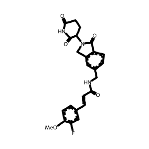 COc1ccc(C=CC(=O)NCc2ccc3c(c2)CN(C2CCC(=O)NC2=O)C3=O)cc1F